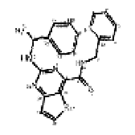 C[C@H](Nc1nc(C(=O)NCc2ccccn2)c2sccc2n1)c1cccnc1